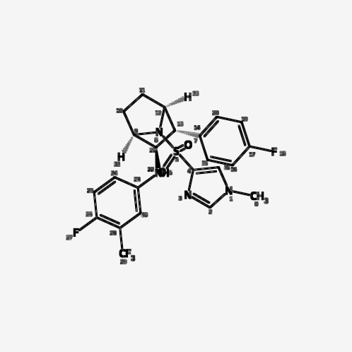 Cn1cnc(S(=O)(=O)N2[C@@H]3CC[C@H]2[C@H](c2ccc(F)cc2)[C@H]3Nc2ccc(F)c(C(F)(F)F)c2)c1